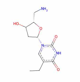 CCc1cn([C@@H]2CC(O)[C@H](CN)O2)c(=O)[nH]c1=O